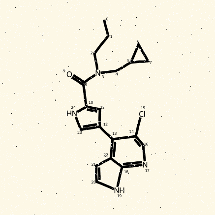 CCCN(CC1CC1)C(=O)c1cc(-c2c(Cl)cnc3[nH]ccc23)c[nH]1